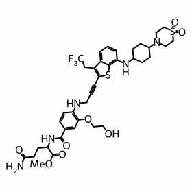 COC(=O)C(CCC(N)=O)NC(=O)c1ccc(NCC#Cc2sc3c(NC4CCC(N5CCS(=O)(=O)CC5)CC4)cccc3c2CC(F)(F)F)c(OCCO)c1